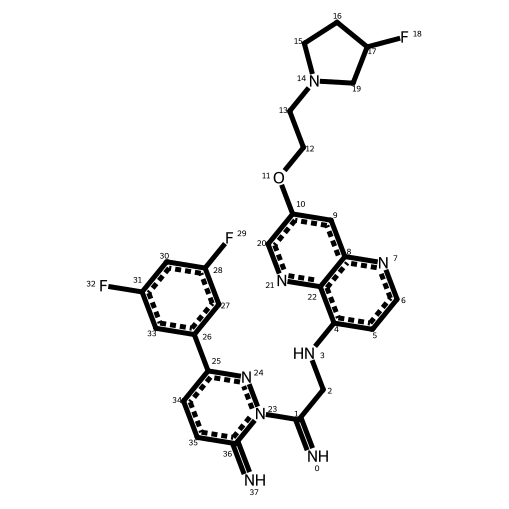 N=C(CNc1ccnc2cc(OCCN3CCC(F)C3)cnc12)n1nc(-c2cc(F)cc(F)c2)ccc1=N